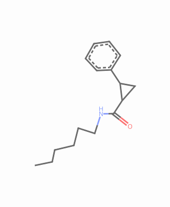 CCCCCCNC(=O)C1CC1c1ccccc1